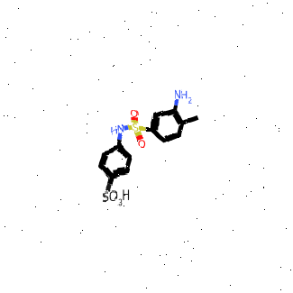 Cc1ccc(S(=O)(=O)Nc2ccc(S(=O)(=O)O)cc2)cc1N